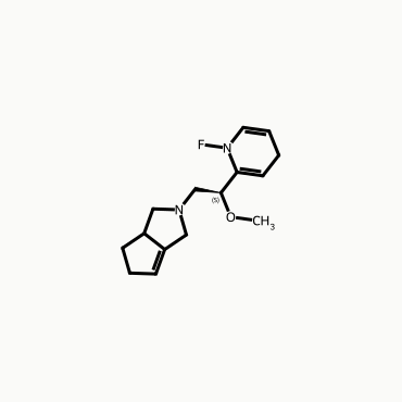 CO[C@@H](CN1CC2=CCCC2C1)C1=CCC=CN1F